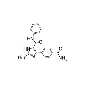 CC(C)(C)c1nc(-c2ccc(C(N)=O)cc2)c(C(=O)Nc2ccccc2)[nH]1